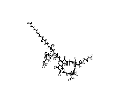 CCCCCCCCCCCCCCCC(=O)OCC(COP(=O)(OC)OCCN(C)C)OC(=O)CCC1c2[nH]c(cc3nc(cc4[nH]c(cc5nc6c2CC(=O)C6=C5C)c(CC)c4C)C(C(C)OCCCCCC)=C3C)C1C